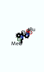 COCCCn1c(C2CCCN(C(=O)OC(C)(C)C)C2)c(C)c2cccc(Cl)c21